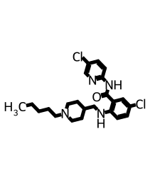 CCCCCN1CCC(CNc2ccc(Cl)cc2C(=O)Nc2ccc(Cl)cn2)CC1